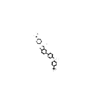 COC(=O)[C@H]1CC[C@H](N2Cc3ccc(-c4ccc(Nc5ccc(C(F)(F)F)cc5)cc4)cc3C2=O)CC1